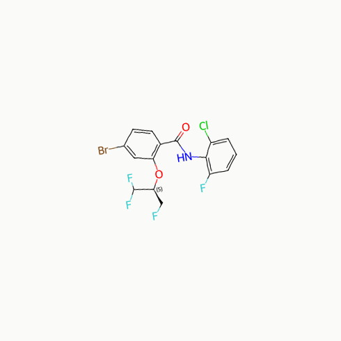 O=C(Nc1c(F)cccc1Cl)c1ccc(Br)cc1O[C@@H](CF)C(F)F